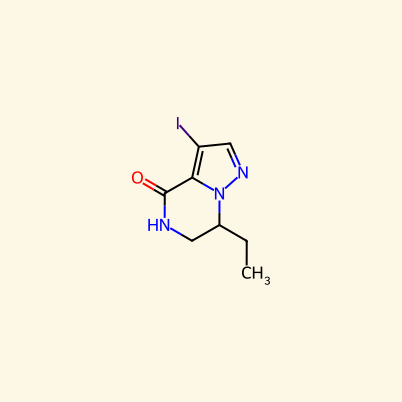 CCC1CNC(=O)c2c(I)cnn21